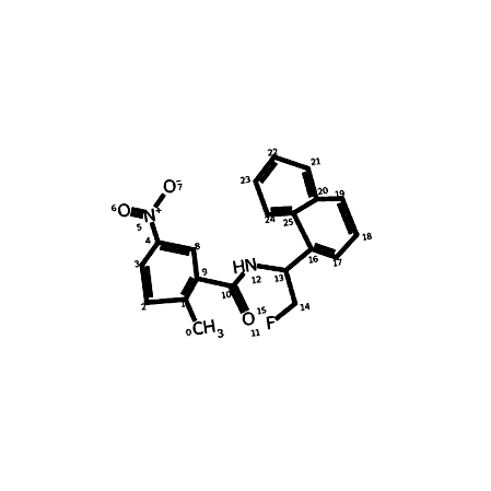 Cc1ccc([N+](=O)[O-])cc1C(=O)NC(CF)c1cccc2ccccc12